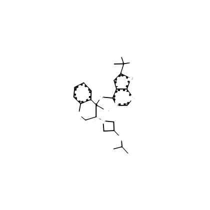 OC1(Nc2ncnc3[nH]c(C(F)(F)F)cc23)c2ccccc2OC[C@@H]1N1CC(OC(F)F)C1